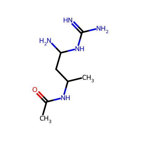 CC(=O)NC(C)CC(N)NC(=N)N